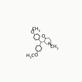 COc1ccc(C(c2ccc(OC)cc2)C2CN(C)CCC2=O)cc1